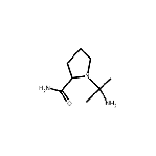 CC(C)(N)N1CCCC1C(N)=O